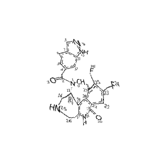 CN(C(=O)c1ccc2cn[nH]c2c1)[C@H]1CNCc2[nH]c(=O)c3cc(F)c(F)cc3c21